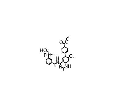 CCOC(=O)C1CC=C(C2C=C3C(NC(C)C4=CCCC(C(F)(F)CO)=C4)=NC(C)NC3CC2OC)CC1